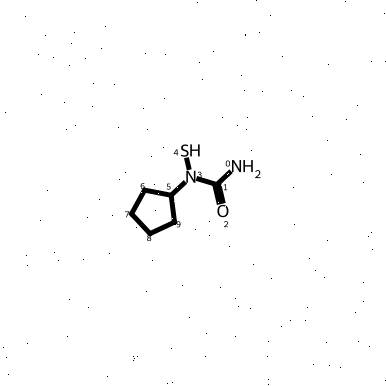 NC(=O)N(S)C1CCCC1